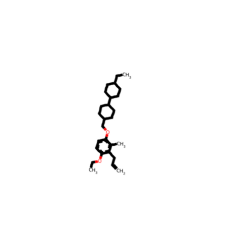 C=CCc1c(OCC)ccc(OCC2CCC(C3CCC(CC)CC3)CC2)c1C